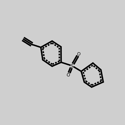 C#Cc1ccc(S(=O)(=O)c2ccccc2)cc1